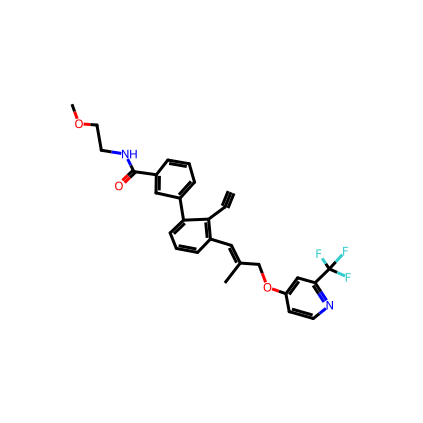 C#Cc1c(/C=C(\C)COc2ccnc(C(F)(F)F)c2)cccc1-c1cccc(C(=O)NCCOC)c1